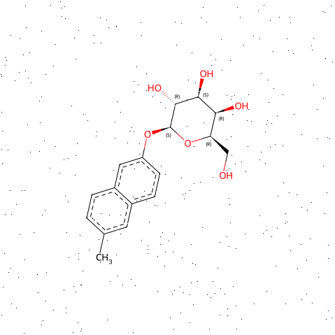 Cc1ccc2cc(O[C@@H]3O[C@H](CO)[C@H](O)[C@H](O)[C@H]3O)ccc2c1